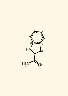 NC(=O)C1[C]c2ccccc2N1